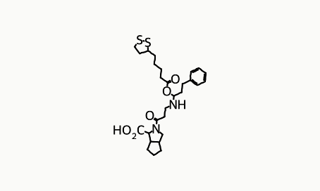 O=C(CCCCC1CCSS1)OC(CCc1ccccc1)NCCC(=O)N1CC2CCCC2C1C(=O)O